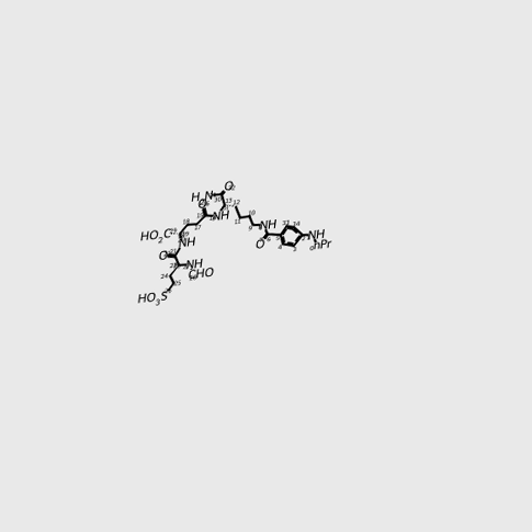 CCCNc1ccc(C(=O)NCCCC[C@H](NC(=O)CC[C@H](NC(=O)[C@H](CCS(=O)(=O)O)NC=O)C(=O)O)C(N)=O)cc1